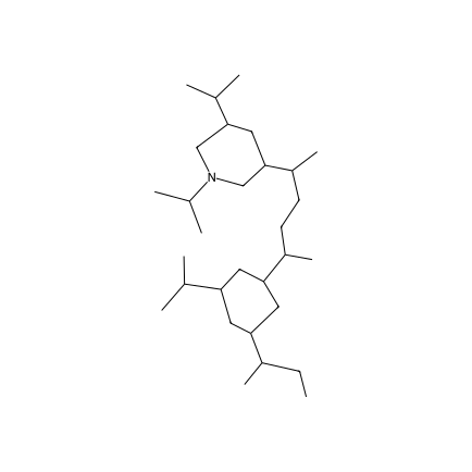 CCC(C)C1CC(C(C)C)CC(C(C)CCC(C)C2CC(C(C)C)CN(C(C)C)C2)C1